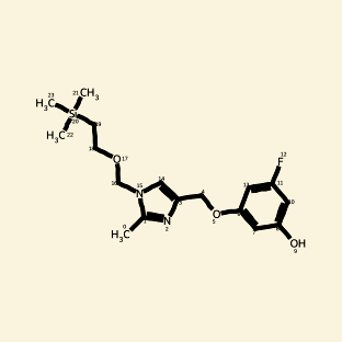 Cc1nc(COc2cc(O)cc(F)c2)cn1COCC[Si](C)(C)C